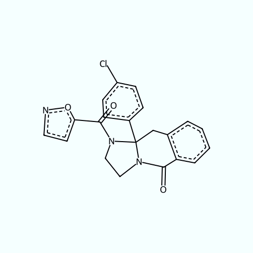 O=C(c1ccno1)N1CCN2C(=O)c3ccccc3CC12c1ccc(Cl)cc1